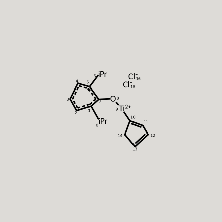 CC(C)c1cccc(C(C)C)c1[O][Ti+2][C]1=CC=CC1.[Cl-].[Cl-]